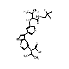 CC(C)C(Nc1cncc(-c2c[nH]c3ncc(N(C(=O)O)C(C)C)cc23)c1)C(=O)NCC(F)(F)F